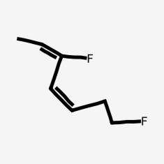 C/C=C(F)\C=C/CCF